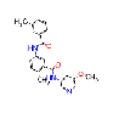 COc1cncc(NC(=O)c2cc(NC(=O)c3cccc(C)c3)ccc2C)c1